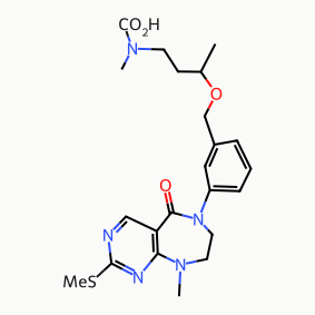 CSc1ncc2c(n1)N(C)CCN(c1cccc(COC(C)CCN(C)C(=O)O)c1)C2=O